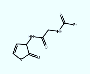 CCC(=S)NCC(=O)NC1C=CSC1=O